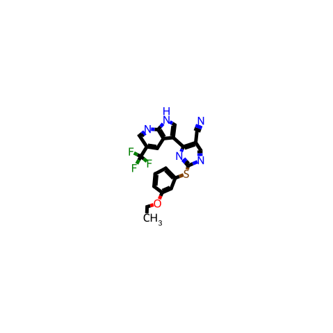 CCOc1cccc(Sc2ncc(C#N)c(-c3c[nH]c4ncc(C(F)(F)F)cc34)n2)c1